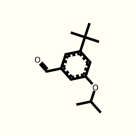 CC(C)Oc1cc(C=O)cc(C(C)(C)C)c1